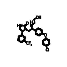 O=C1NCC(c2cccc(C(F)(F)F)c2)N1CC(NCCO)c1ccc(Oc2ccc(Cl)cc2)cc1